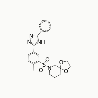 Cc1ccc(-c2nnc(-c3ccccc3)[nH]2)cc1S(=O)(=O)N1CCCC2(C1)OCCO2